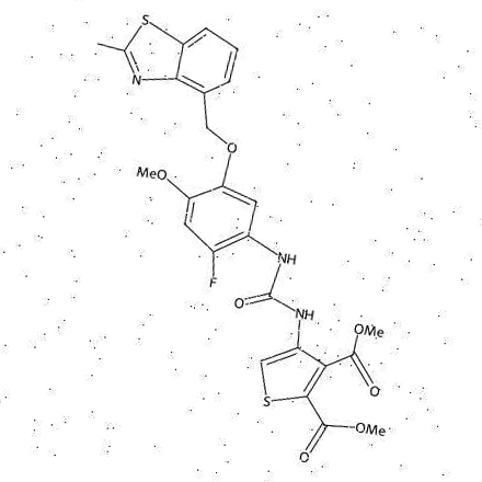 COC(=O)c1scc(NC(=O)Nc2cc(OCc3cccc4sc(C)nc34)c(OC)cc2F)c1C(=O)OC